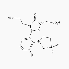 CC(C)(C)CCN1C(=O)[C@H](CC(=O)O)SC1c1cccc(F)c1N1CCC(F)(F)C1